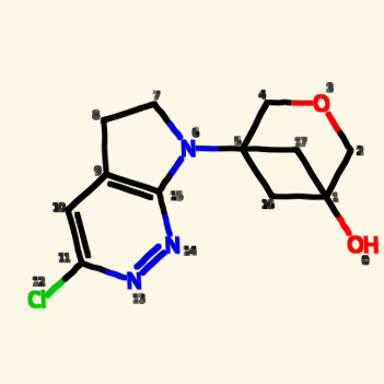 OC12COCC(N3CCc4cc(Cl)nnc43)(C1)C2